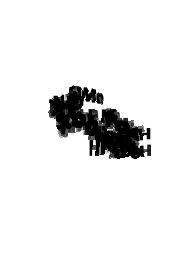 COC(=O)C[C@@H]1N=C(c2ccc(-c3ccc(OCC(=O)NC(C(=O)N4C[C@H](O)C[C@H]4C(=O)NC(C)c4ccc(-c5scnc5C)cc4)C(C)(C)C)cc3F)cc2)c2c(sc(C)c2C)-n2c(C)nnc21